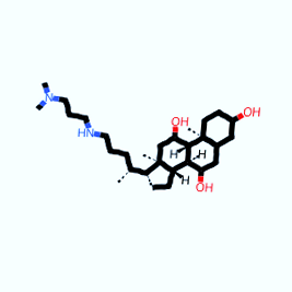 C[C@H](CCCNCCCN(C)C)[C@H]1CC[C@H]2[C@@H]3C(O)CC4CC(O)CC[C@]4(C)[C@H]3C(O)C[C@]12C